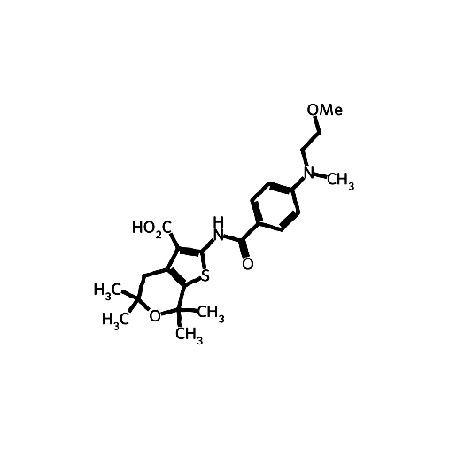 COCCN(C)c1ccc(C(=O)Nc2sc3c(c2C(=O)O)CC(C)(C)OC3(C)C)cc1